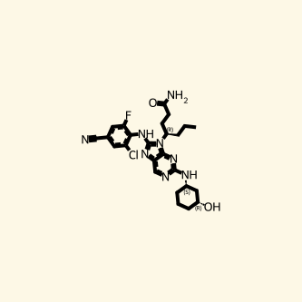 CCC[C@H](CCC(N)=O)n1c(Nc2c(F)cc(C#N)cc2Cl)nc2cnc(N[C@H]3CCC[C@@H](O)C3)nc21